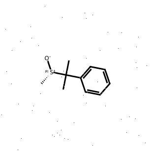 C[S@+]([O-])C(C)(C)c1ccccc1